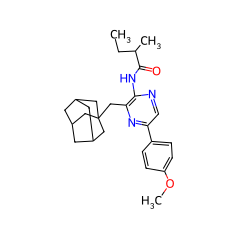 CCC(C)C(=O)Nc1ncc(-c2ccc(OC)cc2)nc1CC12CC3CC(CC(C3)C1)C2